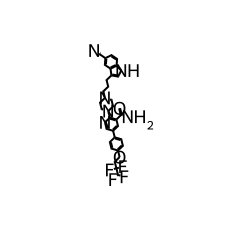 N#Cc1ccc2[nH]cc(CCCN3CCN(c4ncc(-c5ccc(OCC(F)(F)C(F)F)cc5)cc4C(N)=O)CC3)c2c1